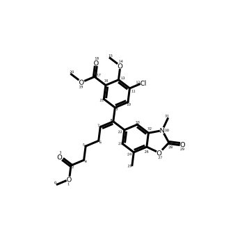 COC(=O)CCC/C=C(/c1cc(Cl)c(OC)c(C(=O)OC)c1)c1cc(C)c2oc(=O)n(C)c2c1